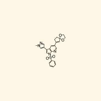 Cn1cc(-c2cn(S(=O)(=O)c3ccccc3)c3ncc(C4=CC5(CC4)OCCO5)cc23)cn1